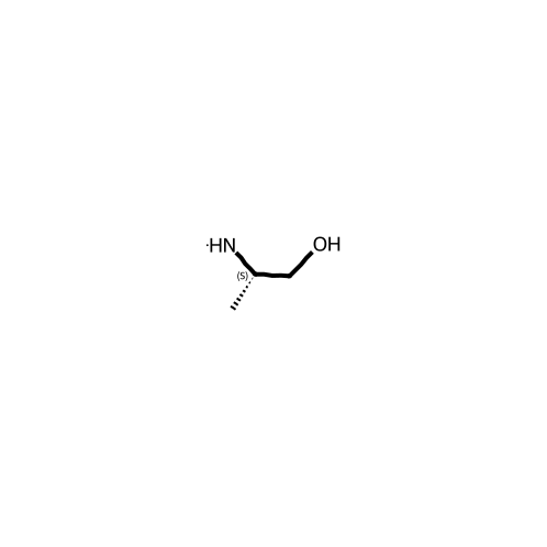 C[C@H]([NH])CO